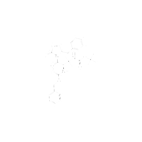 CC(C)(C)OC(=O)NC(C)(C)[C@@H](NC(=O)OCc1ccccc1)C(=O)N1C(=O)OCC1Cc1ccccc1